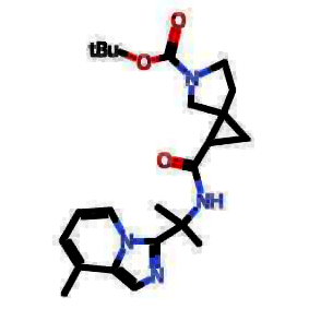 Cc1cccn2c(C(C)(C)NC(=O)C3CC34CCN(C(=O)OC(C)(C)C)C4)ncc12